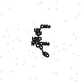 COCCNc1ncc(C(=O)NC2=Nc3c(ccc(OCCCN4CCOCC4)c3OC)C3=NCCN23)cn1